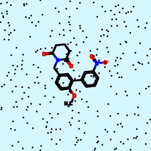 COc1ccc(CN2C(=O)CCCC2=O)cc1-c1cccc([N+](=O)[O-])c1